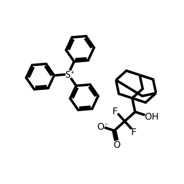 O=C([O-])C(F)(F)C(O)C12CC3CC(CC(C3)C1)C2.c1ccc([S+](c2ccccc2)c2ccccc2)cc1